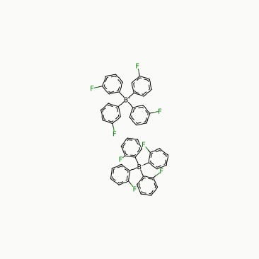 Fc1cccc([B-](c2cccc(F)c2)(c2cccc(F)c2)c2cccc(F)c2)c1.Fc1ccccc1[B-](c1ccccc1F)(c1ccccc1F)c1ccccc1F